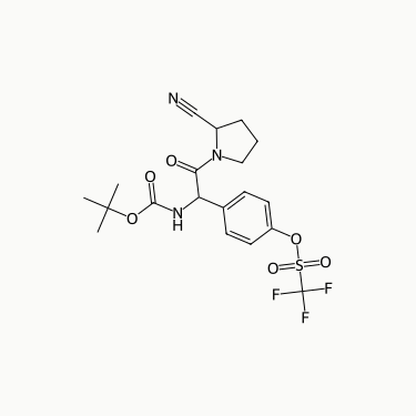 CC(C)(C)OC(=O)NC(C(=O)N1CCCC1C#N)c1ccc(OS(=O)(=O)C(F)(F)F)cc1